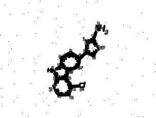 Nc1nc(-c2ccc3[nH]c4nccc(Cl)c4c3c2)cs1